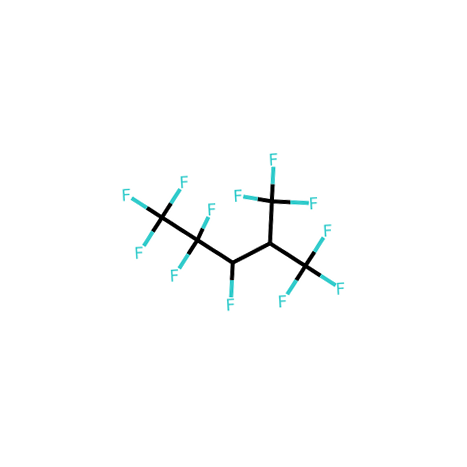 FC(C(C(F)(F)F)C(F)(F)F)C(F)(F)C(F)(F)F